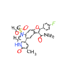 CNC(=O)c1c(-c2ccc(F)cc2)oc2cc(N(C)S(C)(=O)=O)c(-c3c[nH]c(=O)c(C)c3)cc12